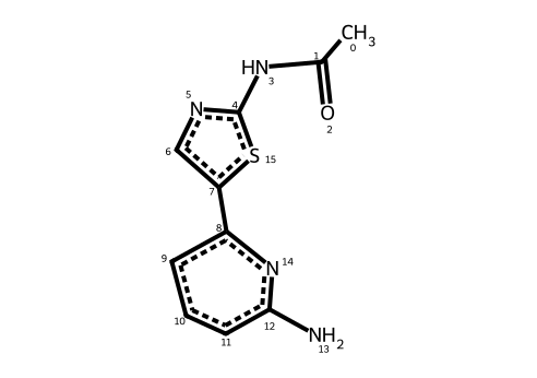 CC(=O)Nc1ncc(-c2cccc(N)n2)s1